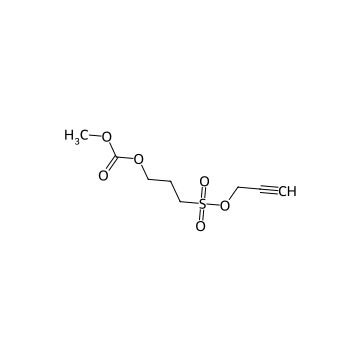 C#CCOS(=O)(=O)CCCOC(=O)OC